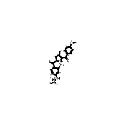 COc1ccc(C(=O)c2[nH]c(C(C)c3ccc(NS(C)(=O)=O)cc3F)cc2C)cc1